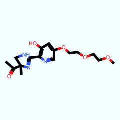 COCCOCCOc1cnc(C2=NC(C)(C(C)=O)CN2)c(O)c1